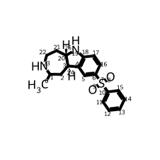 CC1C[C@@H]2c3cc(S(=O)(=O)c4ccccc4)ccc3N[C@H]2CCN1